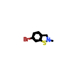 CN1Cc2ccc(Br)cc2S1